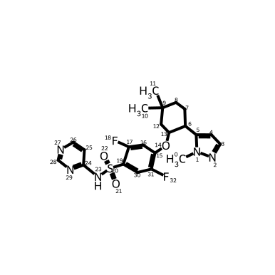 Cn1nccc1C1CCC(C)(C)CC1Oc1cc(F)c(S(=O)(=O)Nc2ccncn2)cc1F